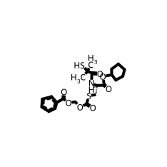 CC(C)(S)C(=O)N[C@@H](CSC(=O)OCOC(=O)c1ccccc1)C(=O)OC1CCCCC1